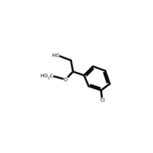 O=C(O)OC(CO)c1cccc(Cl)c1